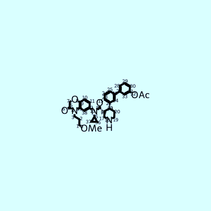 COCCCN1C(=O)COc2ccc(N(C(=O)[C@H]3CNCC[C@@H]3c3cccc(-c4cccc(OC(C)=O)c4)c3)C3CC3)cc21